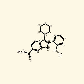 COC(=O)c1ccc2c(C3CCCCC3)c(-c3ccccc3CBr)[nH]c2c1